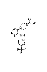 C=CC(=O)N1CCN(c2ccnnc2Nc2ccc(C(F)(F)F)cn2)CC1